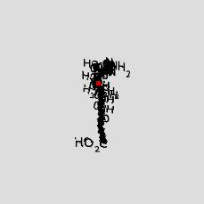 CC(C)(COP(=O)(O)OP(=O)(O)OC[C@H]1O[C@@H](n2cnc3c(N)ncnc32)[C@H](O)[C@@H]1OP(=O)(O)O)[C@@H](O)C(=O)NCCC(=O)NCCSC(=O)CCCCCCCCC(=O)O